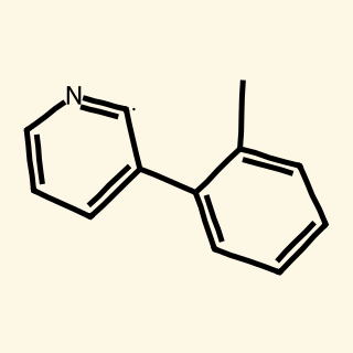 Cc1ccccc1-c1[c]nccc1